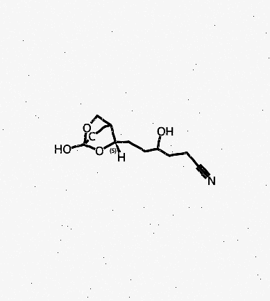 N#CCCC(O)CC[C@@H]1OC2(O)CCC1CO2